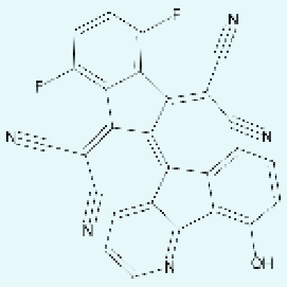 N#CC(C#N)=C1C(=C2c3cccnc3-c3c(O)cccc32)C(=C(C#N)C#N)c2c(F)ccc(F)c21